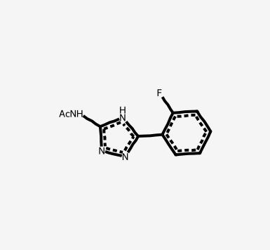 CC(=O)Nc1nnc(-c2ccccc2F)[nH]1